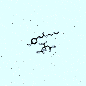 CCOCCOC(=O)/C=C/c1ccc(OC)cc1.O=C(O)CC(O)(CC(=O)O)C(=O)O